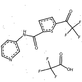 O=C(Nc1cccnc1)c1ccc(C(=O)C(F)(F)F)s1.O=C(O)C(F)(F)F